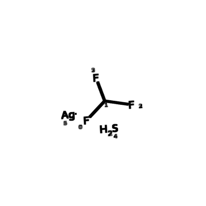 FC(F)F.S.[Ag]